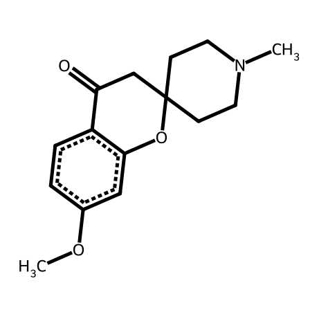 COc1ccc2c(c1)OC1(CCN(C)CC1)CC2=O